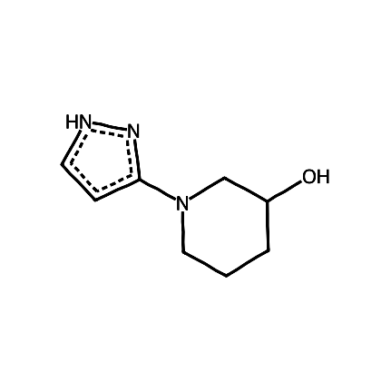 OC1CCCN(c2cc[nH]n2)C1